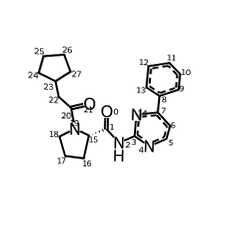 O=C(Nc1nccc(-c2ccccc2)n1)[C@@H]1CCCN1C(=O)CC1CCCC1